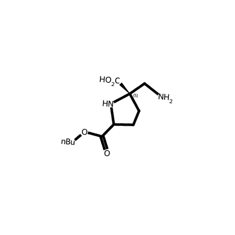 CCCCOC(=O)C1CC[C@](CN)(C(=O)O)N1